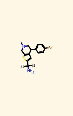 CCC(N)(CC)c1cc2c(s1)CN(C)CC2c1ccc(Br)cc1